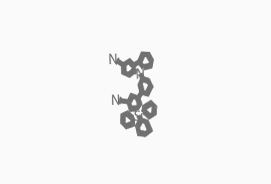 N#Cc1cc(-c2cccc(-n3c4ccccc4c4cc(C#N)ccc43)c2)cc([Si](c2ccccc2)(c2ccccc2)c2ccccc2)c1